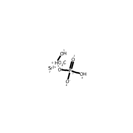 O=C(O)O.O=P([O-])([O-])O.[Sr+2]